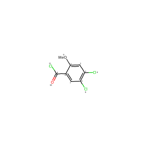 COc1cc(Cl)c(Cl)cc1C(=O)Cl